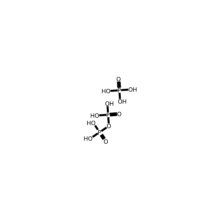 O=P(O)(O)O.O=P(O)(O)OP(=O)(O)O